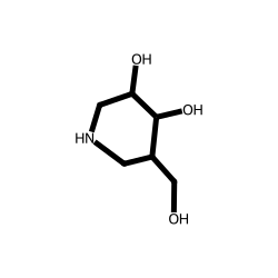 OCC1CNCC(O)C1O